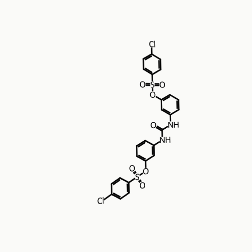 O=C(Nc1cccc(OS(=O)(=O)c2ccc(Cl)cc2)c1)Nc1cccc(OS(=O)(=O)c2ccc(Cl)cc2)c1